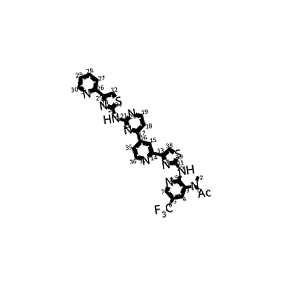 CC(=O)N(C)c1cc(C(F)(F)F)cnc1Nc1nc(-c2cc(-c3ccnc(Nc4nc(-c5ccccn5)cs4)n3)ccn2)cs1